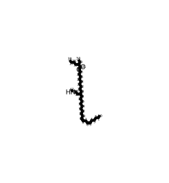 CCCCC/C=C\C/C=C\CCCCCCCCCC(CCCCCCCCCOC(=O)C(CC)CCCC)CCNC